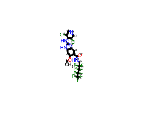 CCOc1cc2[nH]c(Nc3c(Cl)cncc3Cl)nc2cc1C(=O)NCC(F)(F)C(F)(F)C(F)(F)C(F)(F)F